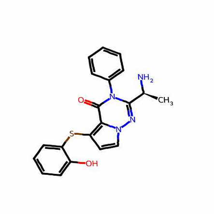 C[C@H](N)c1nn2ccc(Sc3ccccc3O)c2c(=O)n1-c1ccccc1